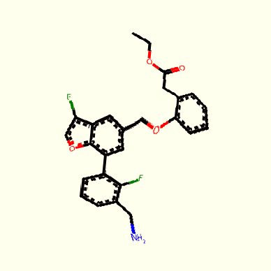 CCOC(=O)Cc1ccccc1OCc1cc(-c2cccc(CN)c2F)c2occ(F)c2c1